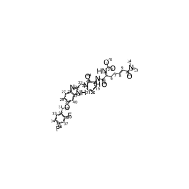 COC(=O)NC(CC/C=C/C(=O)N(C)C)C(=O)Nc1cccn(Cc2nc3ccc(OCc4ccc(F)cc4F)cc3[nH]2)c1=O